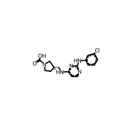 O=C(O)N1CC[C@@H](CNc2ccnc(Nc3cccc(Cl)c3)n2)C1